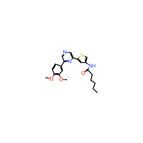 CCCCCC(=O)Nc1csc(-c2cncc(-c3ccc(OC)c(OC)c3)n2)c1